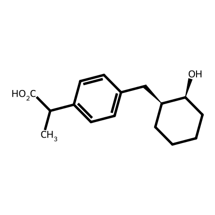 CC(C(=O)O)c1ccc(C[C@@H]2CCCC[C@@H]2O)cc1